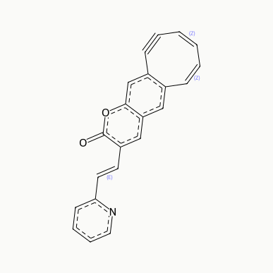 O=c1oc2cc3c(cc2cc1/C=C/c1ccccn1)/C=C\C=C/C#C3